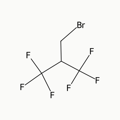 FC(F)(F)C(CBr)C(F)(F)F